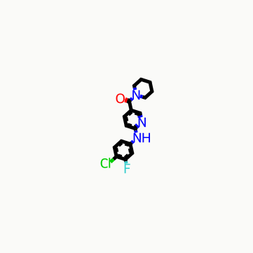 O=C(c1ccc(Nc2ccc(Cl)c(F)c2)nc1)N1CCCCC1